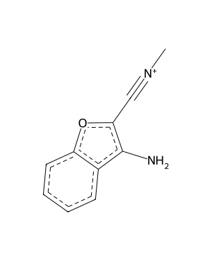 C[N+]#Cc1oc2ccccc2c1N